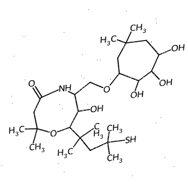 CC(C)(S)CC(C)(C)C1OC(C)(C)CC(=O)NC(COC2CC(C)(C)CC(O)C(O)C2O)C1O